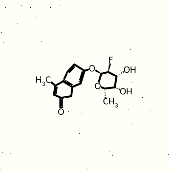 CC1=CC(=O)Cc2cc(O[C@@H]3O[C@@H](C)[C@@H](O)[C@@H](O)[C@@H]3F)ccc21